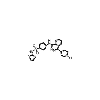 O=S(=O)(Nc1nccs1)c1ccc(Nc2nnc(-c3ccc(Cl)cc3)c3ccccc23)cc1